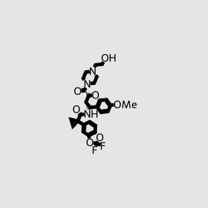 COc1ccc2c(c1)O[C@@H](C(=O)N1CCN(CCO)CC1)C[C@H]2NC(=O)C1(c2ccc3c(c2)OC(F)(F)O3)CC1